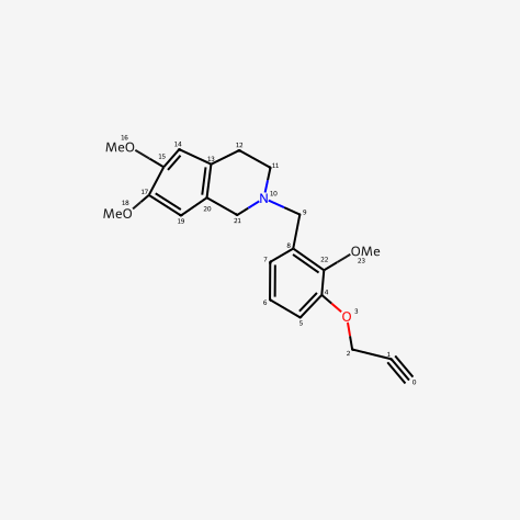 C#CCOc1cccc(CN2CCc3cc(OC)c(OC)cc3C2)c1OC